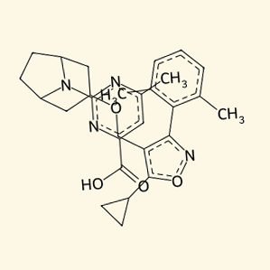 Cc1cc(C(=O)O)nc(N2C3CCC2CC(OCc2c(-c4c(C)cccc4C)noc2C2CC2)C3)n1